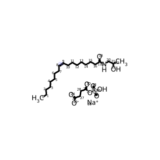 CCCCCCCC/C=C\CCCCCCCC(=O)NCC(C)O.O=C([O-])CCC(=O)OS(=O)(=O)O.[Na+]